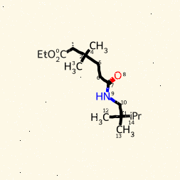 CCOC(=O)CC(C)(C)CCC(=O)NCC(C)(C)C(C)C